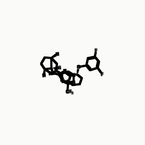 Cc1cc(N2C[C@H]3CC[C@@H](C2)[C@@H]3Nc2nc3n(n2)CCC[C@H]3Oc2cc(F)cc(F)c2)cnn1